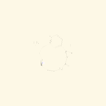 N[C@H]1C/C=C/CCNC(=O)[C@@H]2C[C@@H]2c2ccnc1c2